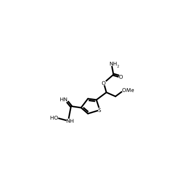 COCC(OC(N)=O)c1cc(C(=N)NO)cs1